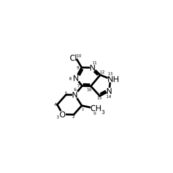 CC1COCCN1c1nc(Cl)nc2[nH]ncc12